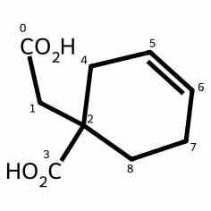 O=C(O)CC1(C(=O)O)CC=CCC1